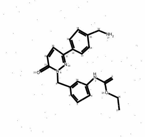 C=C(Nc1cccc(Cn2nc(-c3ccc(CN)cc3)ccc2=O)c1)OCC